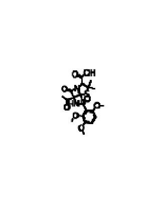 COc1ccc(OC)c(C(=O)N[C@@]2(C(C)=O)C(=O)N3[C@@H](C(=O)O)C(C)(C)S[C@@H]32)c1OC